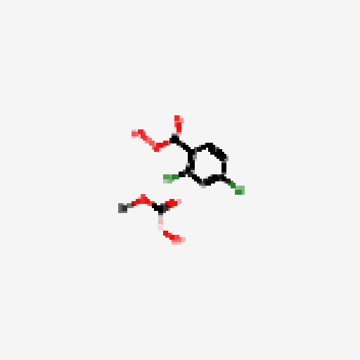 CC(C)OC(=O)OO.O=C(OO)c1ccc(Cl)cc1Cl